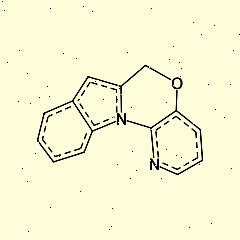 c1cnc2c(c1)OCc1cc3ccccc3n1-2